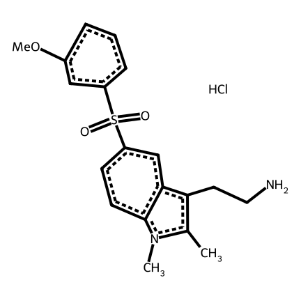 COc1cccc(S(=O)(=O)c2ccc3c(c2)c(CCN)c(C)n3C)c1.Cl